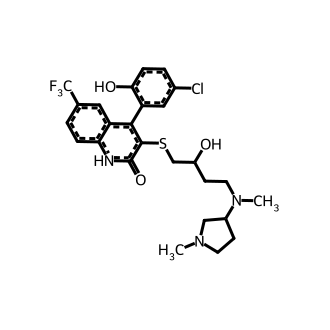 CN1CCC(N(C)CCC(O)CSc2c(-c3cc(Cl)ccc3O)c3cc(C(F)(F)F)ccc3[nH]c2=O)C1